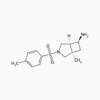 Cc1ccc(S(=O)(=O)N2C[C@H]3[C@@H](N)C[C@@]3(C)C2)cc1